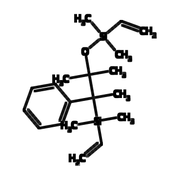 C=C[Si](C)(C)OC(C)(C)C(C)(c1ccccc1)[Si](C)(C)C=C